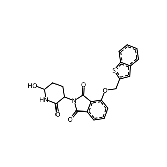 O=C1NC(O)CCC1N1C(=O)c2cccc(OCc3cc4ccccc4s3)c2C1=O